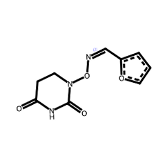 O=C1CCN(O/N=C\c2ccco2)C(=O)N1